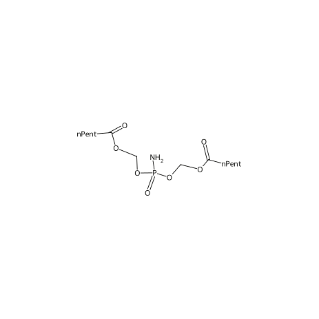 CCCCCC(=O)OCOP(N)(=O)OCOC(=O)CCCCC